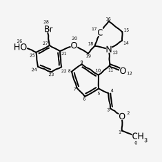 CCO/C=C/c1ccccc1C(=O)N1CCCCC1COc1cccc(O)c1Br